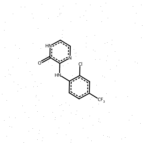 O=c1[nH]ccnc1Nc1ccc(C(F)(F)F)cc1Cl